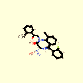 Br.Cc1cccc2c1N(CC(=O)c1ccccc1[N+](=O)[O-])C(=O)[C@@H](N)N=C2c1ccccc1F